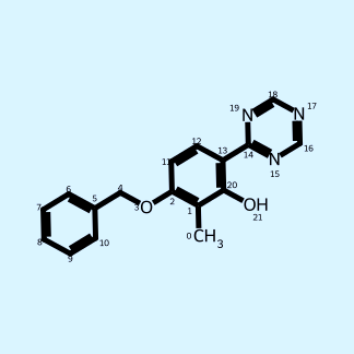 Cc1c(OCc2ccccc2)ccc(-c2ncncn2)c1O